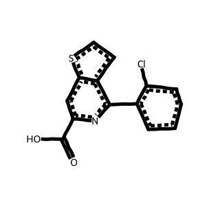 O=C(O)c1cc2sccc2c(-c2ccccc2Cl)n1